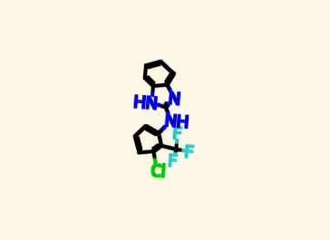 FC(F)(F)c1c(Cl)cccc1Nc1nc2ccccc2[nH]1